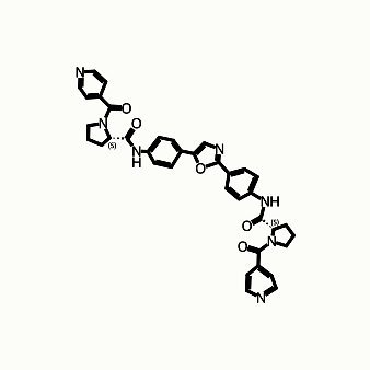 O=C(Nc1ccc(-c2cnc(-c3ccc(NC(=O)[C@@H]4CCCN4C(=O)c4ccncc4)cc3)o2)cc1)[C@@H]1CCCN1C(=O)c1ccncc1